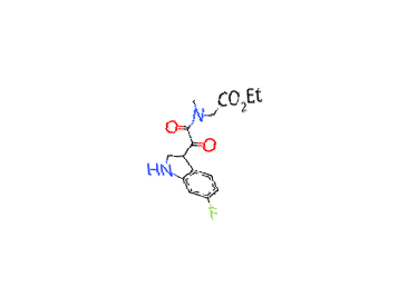 CCOC(=O)CN(C)C(=O)C(=O)C1CNc2cc(F)ccc21